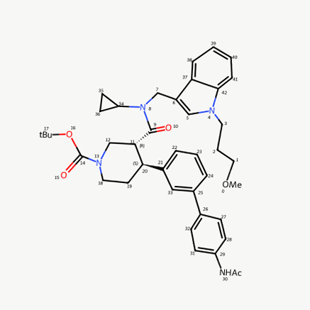 COCCCn1cc(CN(C(=O)[C@H]2CN(C(=O)OC(C)(C)C)CC[C@@H]2c2cccc(-c3ccc(NC(C)=O)cc3)c2)C2CC2)c2ccccc21